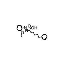 CCOc1ccccc1N=NC(CCCCCc1ccccc1)C(=O)O